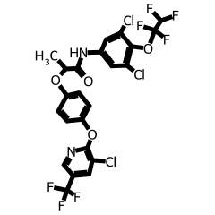 CC(Oc1ccc(Oc2ncc(C(F)(F)F)cc2Cl)cc1)C(=O)Nc1cc(Cl)c(OC(F)(F)C(F)F)c(Cl)c1